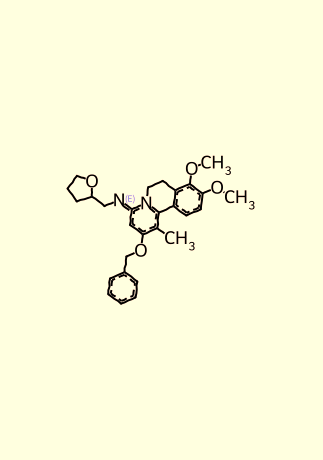 COc1ccc2c(c1OC)CCn1c-2c(C)c(OCc2ccccc2)c/c1=N\CC1CCCO1